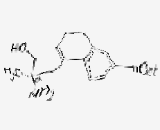 CCCCCCCCc1ccc2c(c1)CCC=C2C[C@@](C)(N)CO